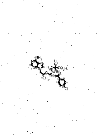 C[C@H](Cn1cnc2c(N)ncnc21)OCP(=O)(NC(=O)c1ccc(Cl)cc1)NC(C)(C)C(=O)O